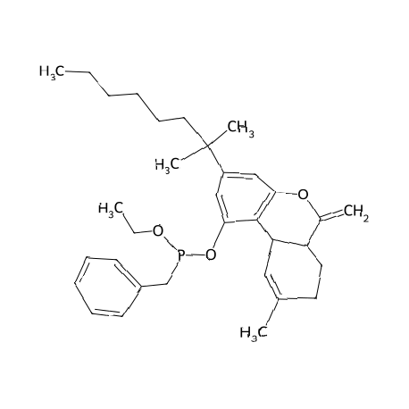 C=C1Oc2cc(C(C)(C)CCCCCC)cc(OP(Cc3ccccc3)OCC)c2C2C=C(C)CCC12